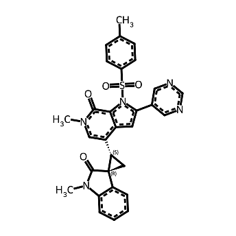 Cc1ccc(S(=O)(=O)n2c(-c3cncnc3)cc3c([C@@H]4C[C@@]45C(=O)N(C)c4ccccc45)cn(C)c(=O)c32)cc1